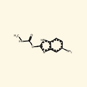 CNC(=O)Oc1nc2cc(N)ccc2[nH]1